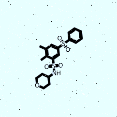 Cc1cc(S(=O)(=O)c2ccccc2)cc(S(=O)(=O)NC2CCOCC2)c1C